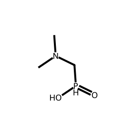 CN(C)C[PH](=O)O